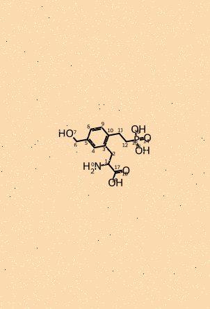 NC(Cc1cc(CO)ccc1CCP(=O)(O)O)C(=O)O